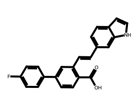 O=C(O)c1ccc(-c2ccc(F)cc2)cc1C=Cc1ccc2cc[nH]c2c1